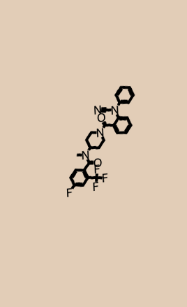 CN(C(=O)c1ccc(F)cc1C(F)(F)F)C1CCN(C(=O)c2ccccc2N(C#N)c2ccccc2)CC1